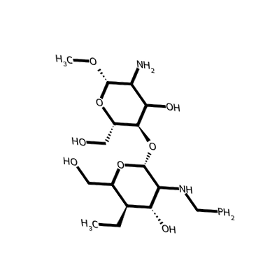 CC[C@H]1C(CO)O[C@H](O[C@@H]2C(O)C(N)[C@@H](OC)O[C@H]2CO)C(NCP)[C@@H]1O